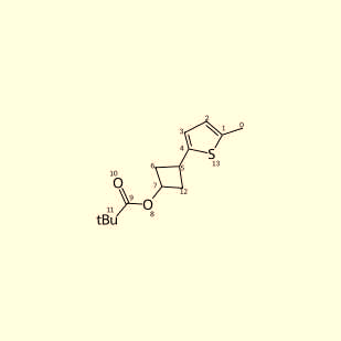 Cc1ccc(C2CC(OC(=O)C(C)(C)C)C2)s1